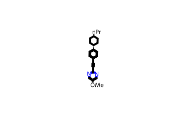 CCC[C@H]1CC[C@H](c2ccc(C#Cc3ncc(OC)cn3)cc2)CC1